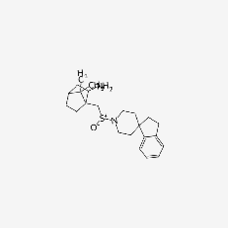 CC1(C)C2CCC1(C[S+]([O-])N1CCC3(CCc4ccccc43)CC1)C(N)C2